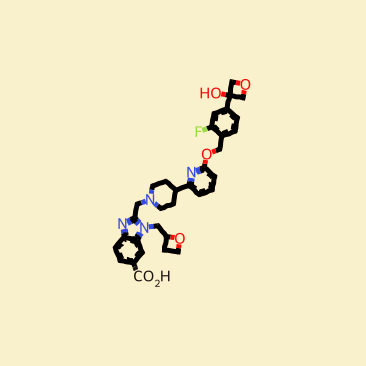 O=C(O)c1ccc2nc(CN3CCC(c4cccc(OCc5ccc(C6(O)COC6)cc5F)n4)CC3)n(CC3CCO3)c2c1